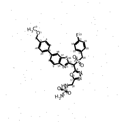 COCc1ccc(-c2ccc3nc(C(c4nnc(CNS(N)(=O)=O)o4)S(=O)(=O)Cc4ccc(F)cc4)sc3c2)cc1